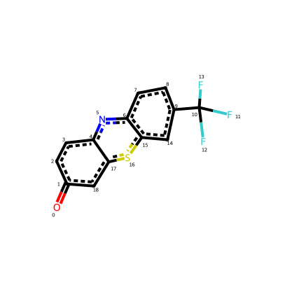 O=c1ccc2nc3ccc(C(F)(F)F)cc3sc-2c1